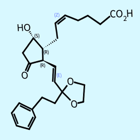 O=C(O)CCC/C=C\C[C@H]1[C@@H](O)CC(=O)[C@@H]1/C=C/C1(CCc2ccccc2)OCCO1